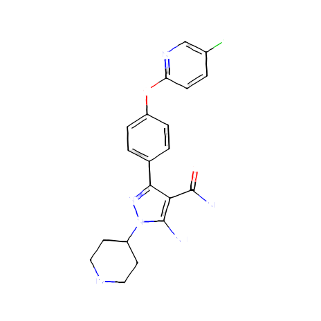 NC(=O)c1c(-c2ccc(Oc3ccc(Cl)cn3)cc2)nn(C2CCNCC2)c1N